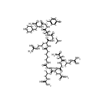 CC(C)C[C@H](NC(=O)[C@H](CCCNC(=N)N)NC(=O)CCCCNC(=O)[C@@H](CCCNC(=N)N)NC(=O)[C@H](CCC(N)=O)NC(=O)[C@@H](CCCNC(=N)N)NC(=O)C(C)(C)C(N)=O)C(=O)NC(C)(C)C(=O)N[C@@H](Cc1ccc(Br)cc1)C(=O)N[C@@H](CC1CCNCC1)C(N)=O